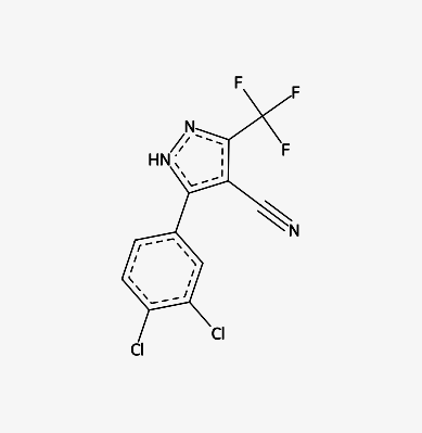 N#Cc1c(C(F)(F)F)n[nH]c1-c1ccc(Cl)c(Cl)c1